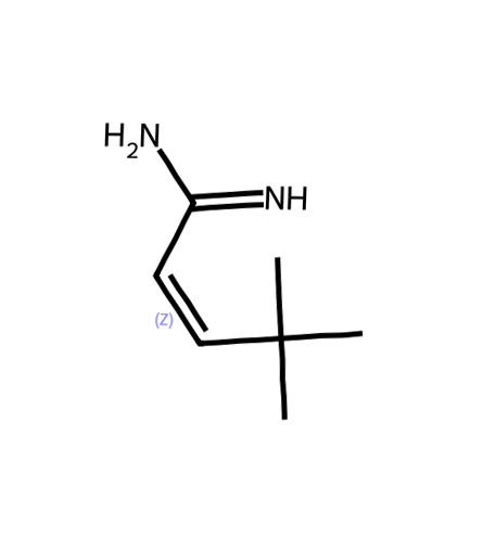 CC(C)(C)/C=C\C(=N)N